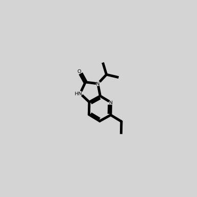 CCc1ccc2[nH]c(=O)n(C(C)C)c2n1